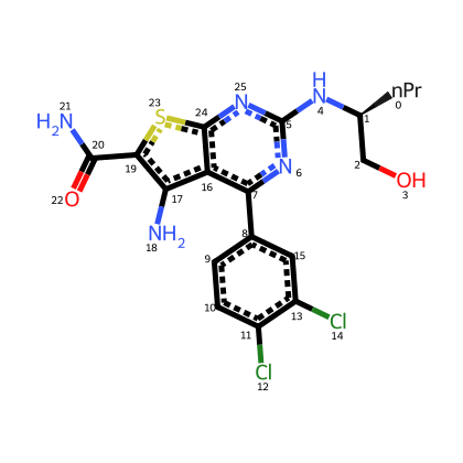 CCC[C@@H](CO)Nc1nc(-c2ccc(Cl)c(Cl)c2)c2c(N)c(C(N)=O)sc2n1